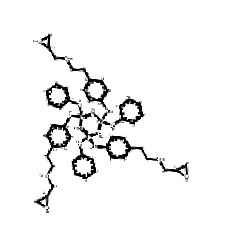 c1ccc(OP2(Oc3ccc(CCOCC4CO4)cc3)=NP(Oc3ccccc3)(Oc3ccc(CCOCC4CO4)cc3)=NP(Oc3ccccc3)(Oc3ccc(CCOCC4CO4)cc3)=N2)cc1